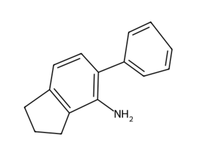 Nc1c(-c2ccccc2)ccc2c1CCC2